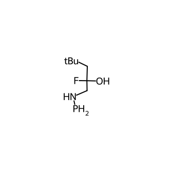 CC(C)(C)CC(O)(F)CNP